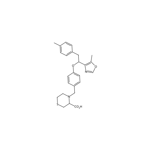 Cc1ccc(CC(Oc2ccc(CN3CCSCC3C(=O)O)cc2)c2ncoc2C)cc1